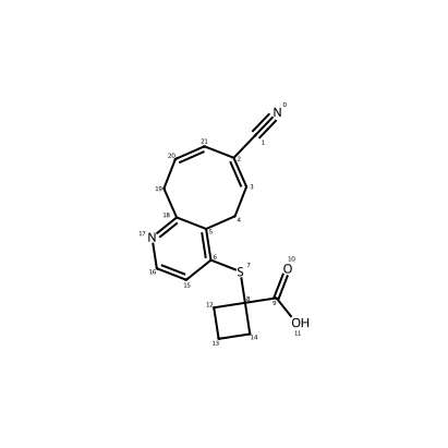 N#CC1=C/Cc2c(SC3(C(=O)O)CCC3)ccnc2C/C=C\1